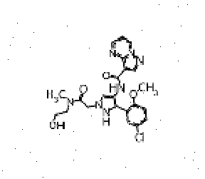 COc1ccc(Cl)cc1C1NN(CC(=O)N(C)CCO)C=C1NC(=O)c1cnn2cccnc12